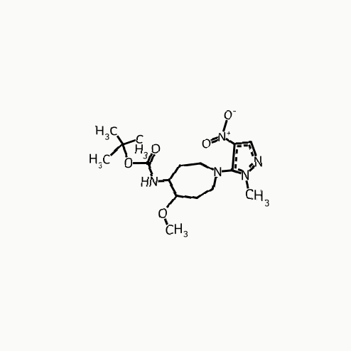 COC1CCN(c2c([N+](=O)[O-])cnn2C)CCC1NC(=O)OC(C)(C)C